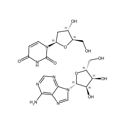 Nc1ncnc2c1ncn2[C@@H]1O[C@H](CO)[C@@H](O)[C@H]1O.O=c1ccn([C@H]2C[C@H](O)[C@@H](CO)O2)c(=O)[nH]1